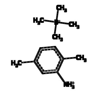 C[B-](C)(C)C.Cc1ccc(C)c([NH3+])c1